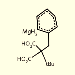 CC(C)(C)C(Cc1ccccc1)(C(=O)O)C(=O)O.[MgH2]